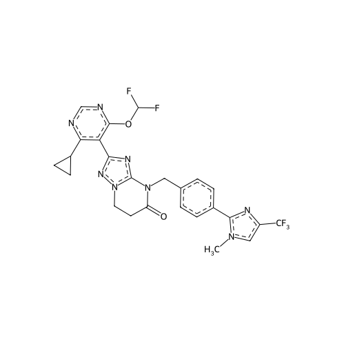 Cn1cc(C(F)(F)F)nc1-c1ccc(CN2C(=O)CCn3nc(-c4c(OC(F)F)ncnc4C4CC4)nc32)cc1